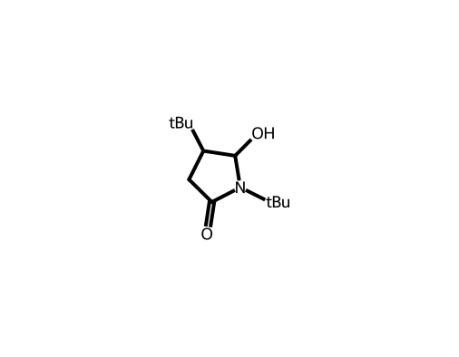 CC(C)(C)C1CC(=O)N(C(C)(C)C)C1O